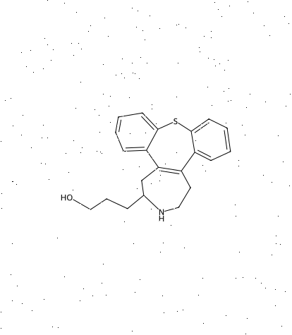 OCCCC1CC2=C(CCN1)c1ccccc1Sc1ccccc12